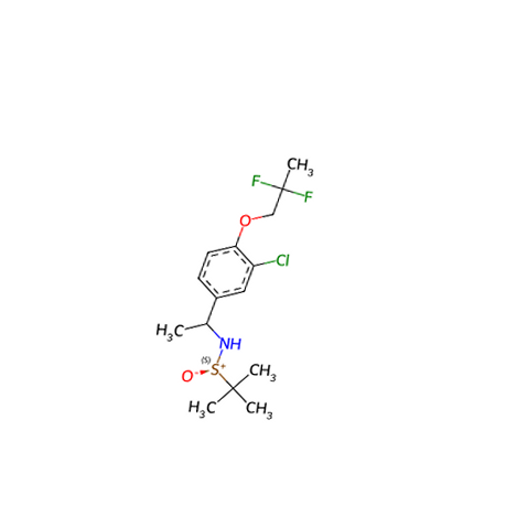 CC(N[S@+]([O-])C(C)(C)C)c1ccc(OCC(C)(F)F)c(Cl)c1